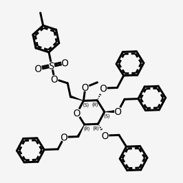 CO[C@@]1(CCOS(=O)(=O)c2ccc(C)cc2)O[C@H](COCc2ccccc2)[C@@H](OCc2ccccc2)[C@H](OCc2ccccc2)[C@H]1OCc1ccccc1